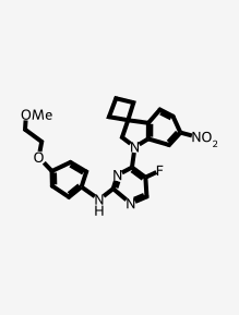 COCCOc1ccc(Nc2ncc(F)c(N3CC4(CCC4)c4ccc([N+](=O)[O-])cc43)n2)cc1